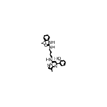 COc1ccccc1NC(=O)NCCCCNc1cc(-c2ccccc2O)nc2c(C)cnn12